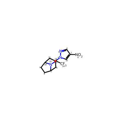 O=[N+]([O-])c1cnn(C2CC3CCC(C2)N3CC(F)(F)F)c1